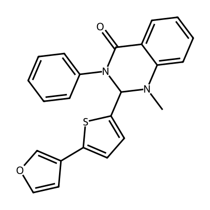 CN1c2ccccc2C(=O)N(c2ccccc2)C1c1ccc(-c2ccoc2)s1